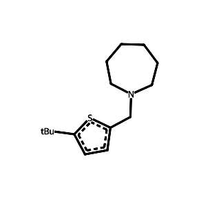 CC(C)(C)c1ccc(CN2CCCCCC2)s1